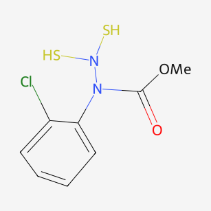 COC(=O)N(c1ccccc1Cl)N(S)S